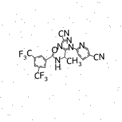 CC(NC(=O)c1cc(C(F)(F)F)cc(C(F)(F)F)c1)c1nc(C#N)nn1-c1ccc(C#N)cn1